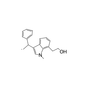 [CH2]C(c1ccccc1)c1cn(C)c2c(CCO)cccc12